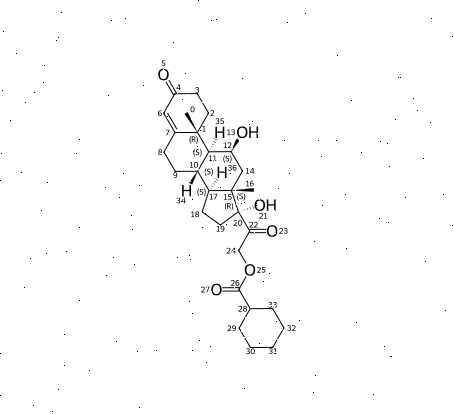 C[C@]12CCC(=O)C=C1CC[C@@H]1[C@@H]2[C@@H](O)C[C@@]2(C)[C@H]1CC[C@]2(O)C(=O)COC(=O)C1CCCCC1